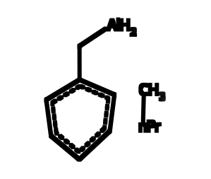 CCCC.[AlH2][CH2]c1ccccc1